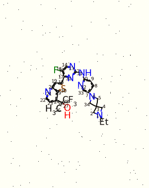 CCN1CC2(C1)CN(c1ccc(Nc3ncc(F)c(-c4cc5nccc(C(C)(O)C(F)(F)F)c5s4)n3)nc1)C2